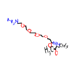 CC[C@H](NC(=O)CCOCCOCCOCCOCCN)C(C)=O